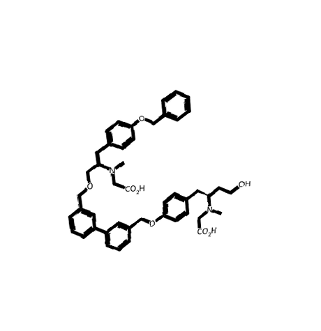 CN(CC(=O)O)C(COCc1cccc(-c2cccc(COc3ccc(C[C@@H](CCO)N(C)CC(=O)O)cc3)c2)c1)Cc1ccc(OCc2ccccc2)cc1